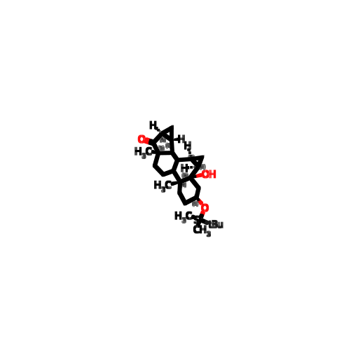 CC(C)(C)[Si](C)(C)O[C@H]1CC[C@]2(C)C3CC[C@]4(C)C(=O)[C@H]5C[C@H]5C4C3[C@H]3C[C@H]3[C@]2(O)C1